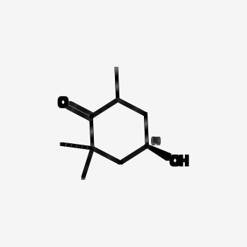 CC1C[C@@H](O)CC(C)(C)C1=O